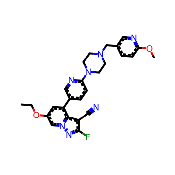 CCOc1cc(-c2ccc(N3CCN(Cc4ccc(OC)nc4)CC3)nc2)c2c(C#N)c(F)nn2c1